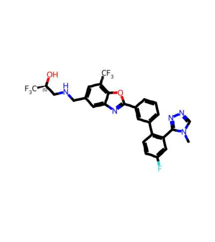 Cn1cnnc1-c1cc(F)ccc1-c1cccc(-c2nc3cc(CNC[C@H](O)C(F)(F)F)cc(C(F)(F)F)c3o2)c1